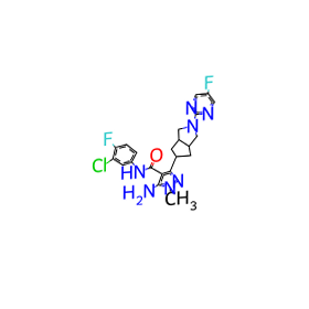 Cn1nc(C2CC3CN(c4ncc(F)cn4)CC3C2)c(C(=O)Nc2ccc(F)c(Cl)c2)c1N